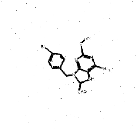 CCCSc1nc(N)c2c(n1)N(Cc1ccc(Br)cc1)C(C=O)N2